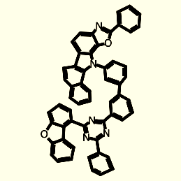 c1ccc(-c2nc(-c3cccc(-c4cccc(-n5c6c7ccccc7ccc6c6ccc7nc(-c8ccccc8)oc7c65)c4)c3)nc(-c3cccc4oc5ccccc5c34)n2)cc1